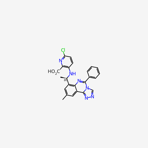 Cc1cc([C@@H](C)Nc2ccc(Cl)nc2C(=O)O)c2nc(-c3ccccc3)n3cnnc3c2c1